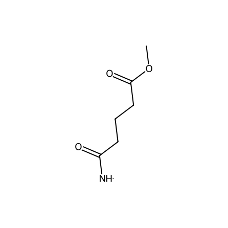 COC(=O)CCCC([NH])=O